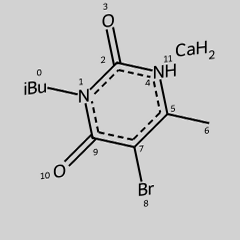 CCC(C)n1c(=O)[nH]c(C)c(Br)c1=O.[CaH2]